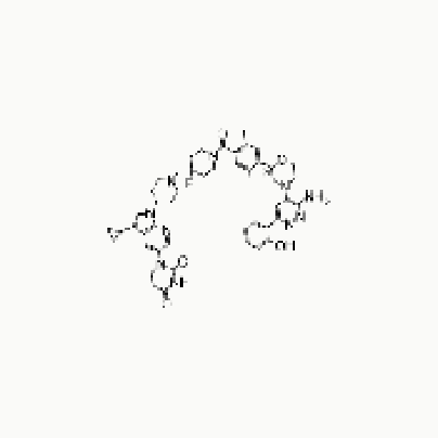 Cc1cc([C@@H]2CN(c3cc(-c4ccccc4O)nnc3N)CCO2)c(C)cc1C(=O)N1CCC(F)(CN2CCC(n3cc(C4CC4)c4cc(N5CCC(=O)NC5=O)cnc43)CC2)CC1